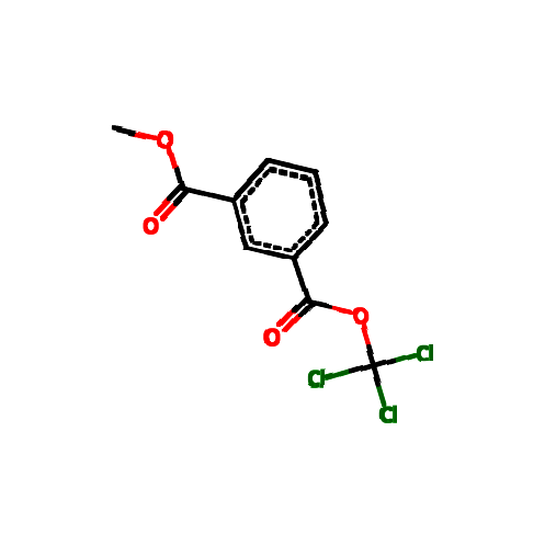 COC(=O)c1cccc(C(=O)OC(Cl)(Cl)Cl)c1